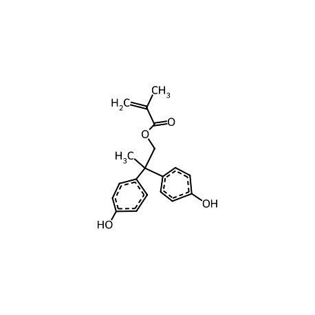 C=C(C)C(=O)OCC(C)(c1ccc(O)cc1)c1ccc(O)cc1